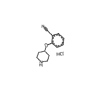 Cl.N#Cc1ccccc1OC1CCNCC1